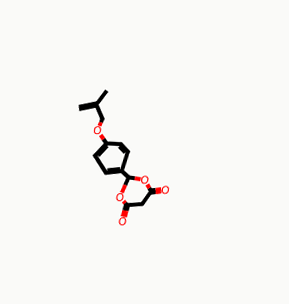 C=C(C)COc1ccc(C2OC(=O)CC(=O)O2)cc1